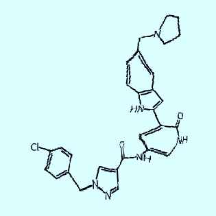 O=C(Nc1c[nH]c(=O)c(-c2cc3cc(CN4CCCC4)ccc3[nH]2)c1)c1cnn(Cc2ccc(Cl)cc2)c1